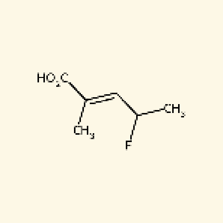 CC(=CC(C)F)C(=O)O